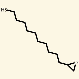 SCCCCCCCCCCC1CO1